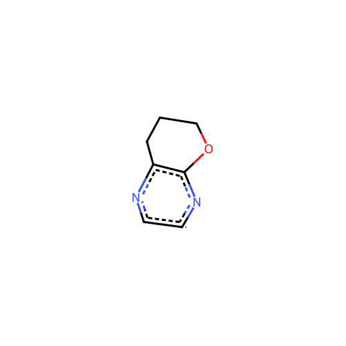 [c]1cnc2c(n1)OCCC2